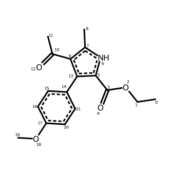 CCOC(=O)c1[nH]c(C)c(C(C)=O)c1-c1ccc(OC)cc1